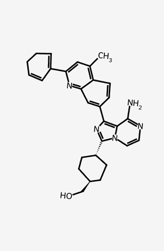 Cc1cc(C2=CCCC=C2)nc2cc(-c3nc([C@H]4CC[C@H](CO)CC4)n4ccnc(N)c34)ccc12